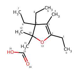 CCC1=C(C)C(CC)(CC)C(C)(C)O1.O=CO